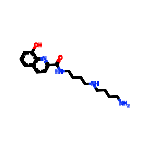 NCCCCNCCCCNC(=O)c1ccc2cccc(O)c2n1